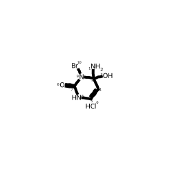 Cl.NC1(O)C=CNC(=O)N1Br